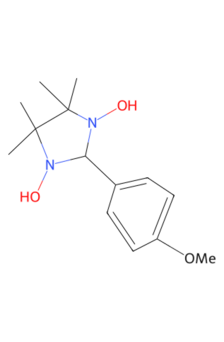 COc1ccc(C2N(O)C(C)(C)C(C)(C)N2O)cc1